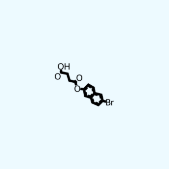 O=C(O)CCC(=O)Oc1ccc2cc(Br)ccc2c1